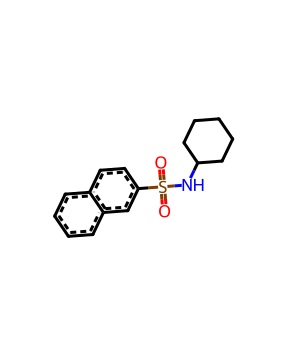 O=S(=O)(NC1CCCCC1)c1ccc2ccccc2c1